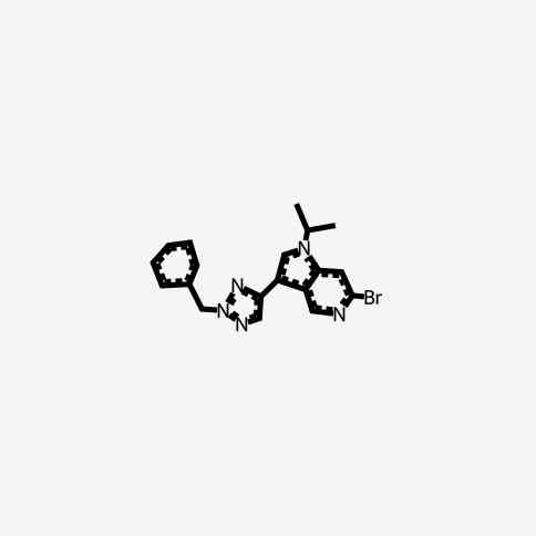 CC(C)n1cc(-c2cnn(Cc3ccccc3)n2)c2cnc(Br)cc21